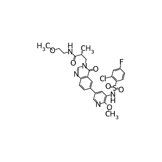 COCCNC(=O)[C@@H](C)Cn1cnc2ccc(-c3cnc(OC)c(NS(=O)(=O)c4ccc(F)cc4Cl)c3)cc2c1=O